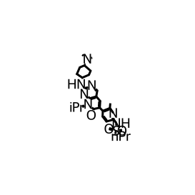 CCCS(=O)(=O)Nc1ccc(-c2cc3cnc(N[C@H]4CC[C@H](N(C)C)CC4)nc3n(C(C)C)c2=O)c(C)n1